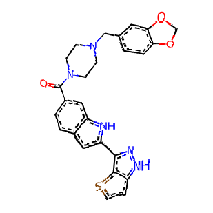 O=C(c1ccc2cc(-c3n[nH]c4ccsc34)[nH]c2c1)N1CCN(Cc2ccc3c(c2)OCO3)CC1